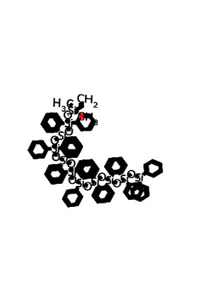 C=C[Si](C)(C)O[Si](O[Si](O[Si](O[Si](O[Si](O[Si](O[Si](O[Si](O[Si](O[SiH](c1ccccc1)c1ccccc1)(c1ccccc1)c1ccccc1)(c1ccccc1)c1ccccc1)(c1ccccc1)c1ccccc1)(c1ccccc1)c1ccccc1)(c1ccccc1)c1ccccc1)(c1ccccc1)c1ccccc1)(c1ccccc1)c1ccccc1)(c1ccccc1)c1ccccc1)(c1ccccc1)c1ccccc1